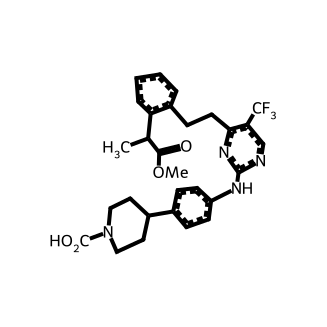 COC(=O)C(C)c1ccccc1CCc1nc(Nc2ccc(C3CCN(C(=O)O)CC3)cc2)ncc1C(F)(F)F